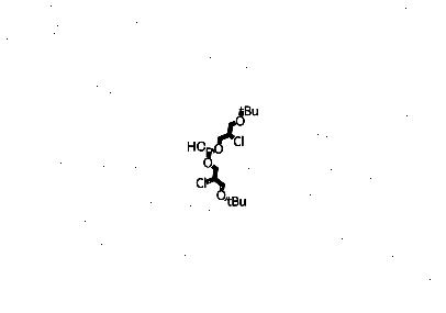 CC(C)(C)OCC(Cl)COP(O)OCC(Cl)COC(C)(C)C